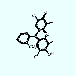 Cc1c2oc3c(C)c(O)c(Cl)cc3c(-c3ccccc3C(=O)O)c-2cc(Cl)c1=O